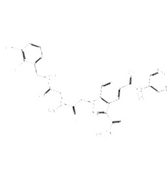 CC(C)N(CC(=O)NCc1cccc(Cl)c1F)C(=O)Cn1nc(C(N)=O)c2cc(C(=O)Nc3cncnc3)ccc21